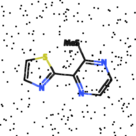 CSc1nccnc1-c1nccs1